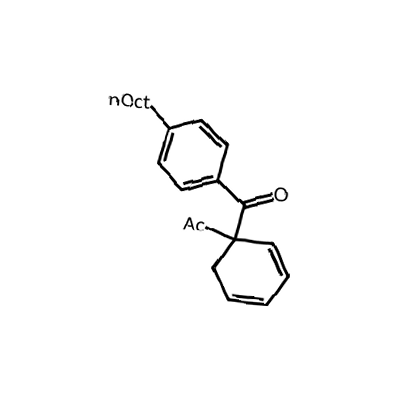 CCCCCCCCc1ccc(C(=O)C2(C(C)=O)C=CC=CC2)cc1